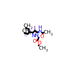 C=C/C=C(\C=C/C)c1nn(CC(=O)OCC)c(NC(C)=O)c1I